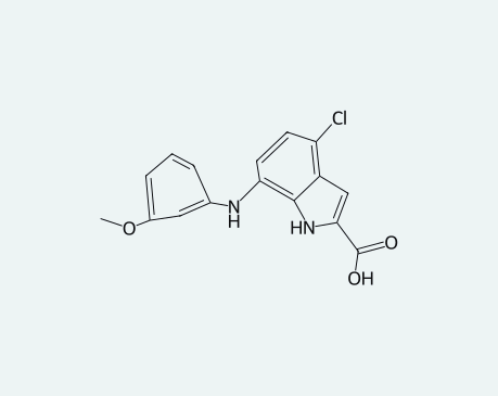 COc1cccc(Nc2ccc(Cl)c3cc(C(=O)O)[nH]c23)c1